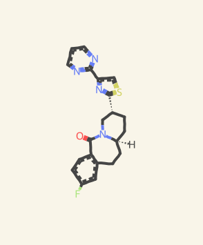 O=C1c2ccc(F)cc2CC[C@@H]2CC[C@@H](c3nc(-c4ncccn4)cs3)CN12